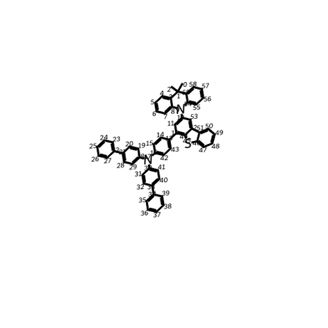 CC1(C)c2ccccc2N(c2cc(-c3ccc(N(c4ccc(-c5ccccc5)cc4)c4ccc(-c5ccccc5)cc4)cc3)c3sc4ccccc4c3c2)c2ccccc21